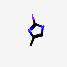 CC1=C[N]C(I)=N1